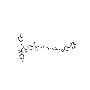 Cc1ccc(CCC(CS(=O)(=O)c2ccc(C)cc2)C(=O)c2ccc(C(=O)NCCOCCOCCOCCOc3ccc(-c4nnc(C)nn4)cc3)cc2)cc1